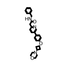 O=C(Cc1ccc(-c2ccc(O[C@H]3C[C@H](N4CCOCC4)C3)cc2)cn1)NCc1ccccc1